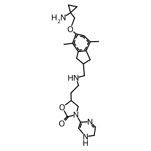 Cc1cc(OCC2(N)CC2)c(C)c2c1CC(CNCCC1CN(C3=CNCC=N3)C(=O)O1)C2